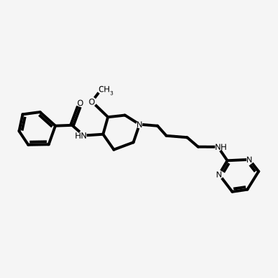 COC1CN(CCCCNc2ncccn2)CCC1NC(=O)c1ccccc1